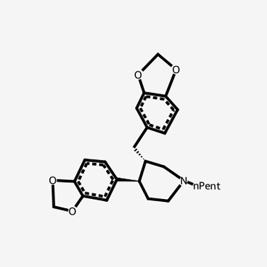 CCCCCN1CC[C@@H](c2ccc3c(c2)OCO3)[C@H](Cc2ccc3c(c2)OCO3)C1